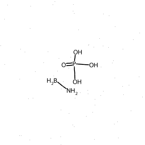 BN.O=P(O)(O)O